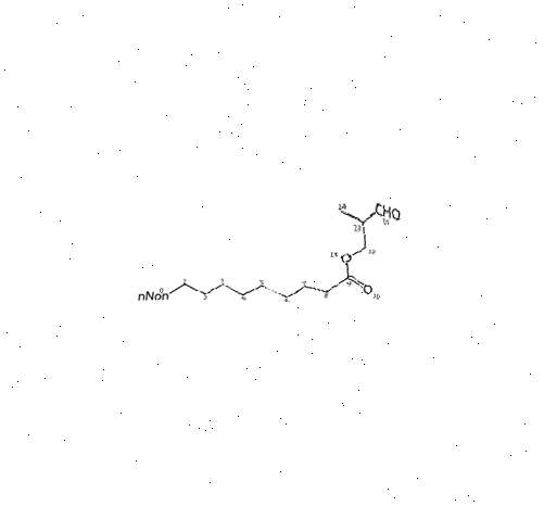 CCCCCCCCCCCCCCCCCC(=O)OCC(C)C=O